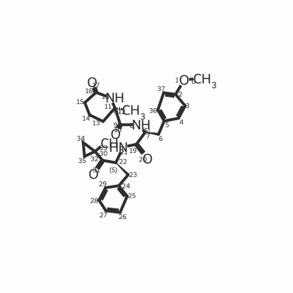 COc1ccc(C[C@H](NC(=O)[C@@]2(C)CCCC(=O)N2)C(=O)N[C@@H](Cc2ccccc2)C(=O)C2(C)CC2)cc1